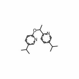 CC(C)c1ccc(OC(C)c2ccc(C(C)C)cn2)nc1